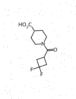 O=C(O)C1CCN(C(=O)C2CC(F)(F)C2)CC1